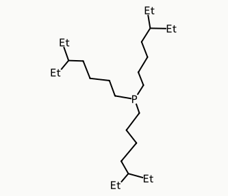 CCC(CC)CCCCP(CCCCC(CC)CC)CCCCC(CC)CC